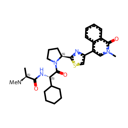 CN[C@@H](C)C(=O)N[C@H](C(=O)N1CCC[C@H]1c1nc(-c2cn(C)c(=O)c3ccccc23)cs1)C1CCCCC1